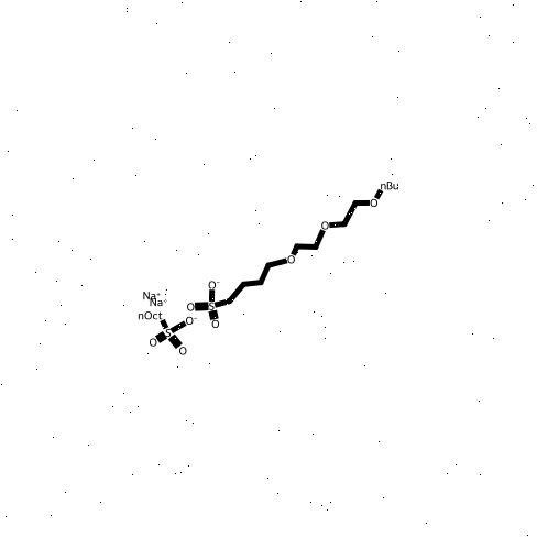 CCCCCCCCS(=O)(=O)[O-].CCCCOCCOCCOCCCCS(=O)(=O)[O-].[Na+].[Na+]